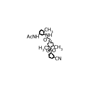 CC(=O)Nc1ccc(C)c(NC(=O)CN2CC(C)N(S(=O)(=O)c3cccc(C#N)c3)C(C)C2)c1